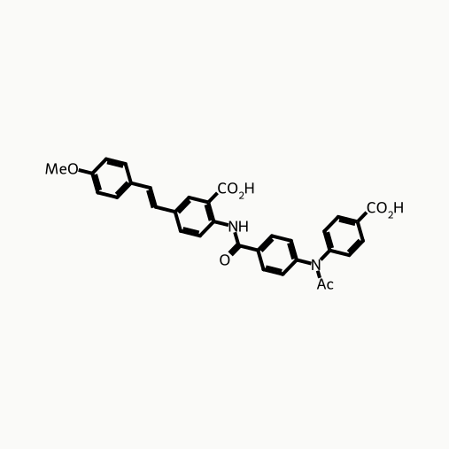 COc1ccc(C=Cc2ccc(NC(=O)c3ccc(N(C(C)=O)c4ccc(C(=O)O)cc4)cc3)c(C(=O)O)c2)cc1